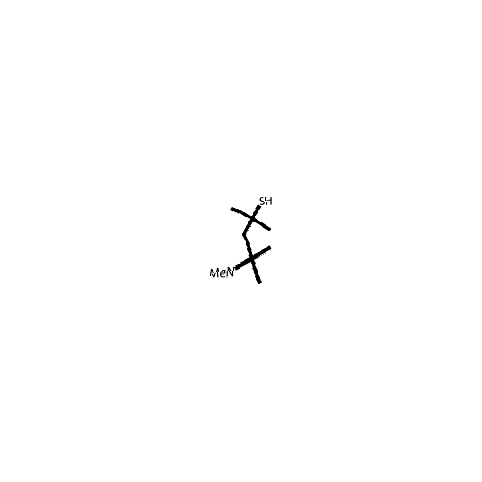 CNC(C)(C)CC(C)(C)S